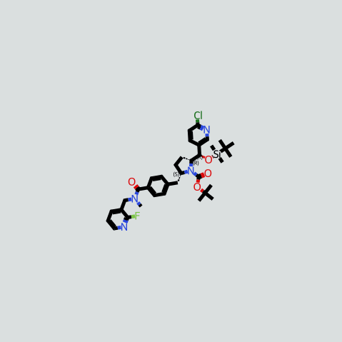 CN(Cc1cccnc1F)C(=O)c1ccc(C[C@@H]2CC[C@H]([C@H](O[Si](C)(C)C(C)(C)C)c3ccc(Cl)nc3)N2C(=O)OC(C)(C)C)cc1